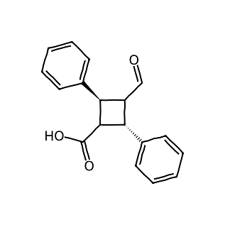 O=CC1[C@H](c2ccccc2)C(C(=O)O)[C@H]1c1ccccc1